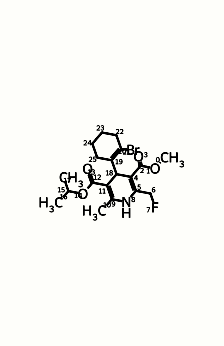 COC(=O)C1=C(CF)NC(C)=C(C(=O)OC(C)C)C1C1=C(Br)CCCC1